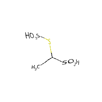 CC(SS(=O)(=O)O)S(=O)(=O)O